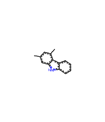 Cc1cc(C)c2c(c1)[nH]c1ccccc12